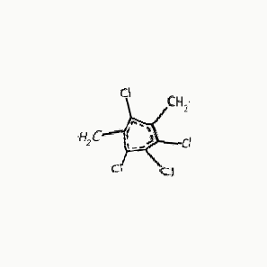 [CH2]c1c(Cl)c([CH2])c(Cl)c(Cl)c1Cl